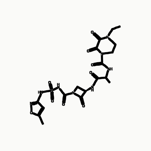 CCN1CCN(C(=O)NC(C)C(=O)N[C@@H]2CN(C(=O)NS(=O)(=O)Nc3cc(C)on3)C2=O)C(=O)C1=O